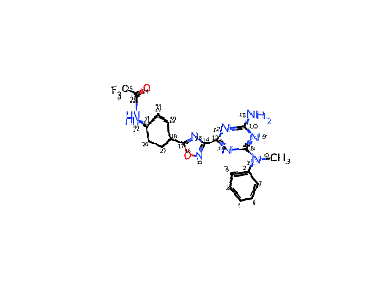 CN(c1ccccc1)c1nc(N)nc(-c2noc(C3CCC(NC(=O)C(F)(F)F)CC3)n2)n1